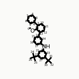 COc1c(-c2ccccc2)cccc1-c1cccc(Nc2cc(C(C)(C)C)cc(C(C)(C)C)c2)c1